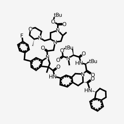 CC1CN(CC(=O)N2CC(C)(C(=O)Nc3ccc4c(c3)CN(C(=O)[C@@H](NC(=O)[C@H](C)N(C)C(=O)OC(C)(C)C)C(C)(C)C)[C@H](C(=O)N[C@@H]3CCCc5ccccc53)C4)c3ccc(Cc4ccc(F)cc4)cc32)C(CN2CCOC[C@H]2C)CN1C(=O)OC(C)(C)C